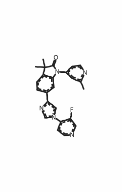 Cc1cc(N2C(=O)C(C)(C)c3ccc(-c4cn(-c5ccncc5F)cn4)cc32)ccn1